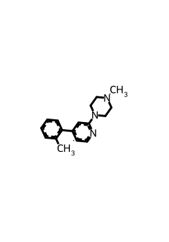 Cc1ccccc1-c1[c]cnc(N2CCN(C)CC2)c1